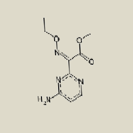 CCON=C(C(=O)OC)c1nccc(N)n1